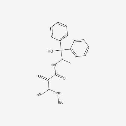 CCCC(NC(C)(C)C)C(=O)C(=O)NC(C)C(O)(c1ccccc1)c1ccccc1